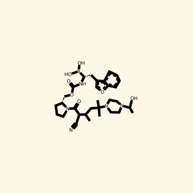 CC(CC(C)(C)N1CCN(C(C)O)CC1)C(C#N)C(=O)N1CCC[C@@H]1COC(=O)N[C@@H](Cc1coc2ccccc12)B(O)O